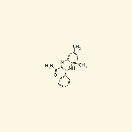 Cc1cc(C)c2c(c1)NC(C(N)=O)=C(c1ccccc1)N2